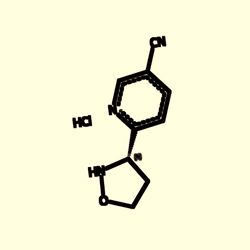 Cl.N#Cc1ccc([C@@H]2CCON2)nc1